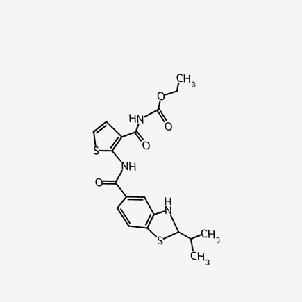 CCOC(=O)NC(=O)c1ccsc1NC(=O)c1ccc2c(c1)NC(C(C)C)S2